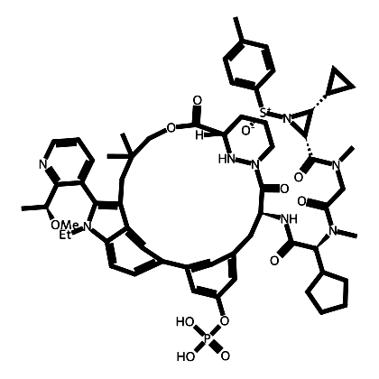 CCn1c(-c2cccnc2[C@H](C)OC)c2c3cc(ccc31)-c1cc(cc(OP(=O)(O)O)c1)C[C@H](NC(=O)[C@H](C1CCCC1)N(C)C(=O)CN(C)C(=O)[C@H]1[C@@H](C3CC3)N1[S@+]([O-])c1ccc(C)cc1)C(=O)N1CCC[C@H](N1)C(=O)OCC(C)(C)C2